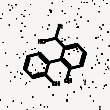 CCC(O)c1cccc(O)c1-c1ccccc1O